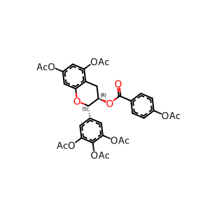 CC(=O)Oc1ccc(C(=O)O[C@@H]2Cc3c(OC(C)=O)cc(OC(C)=O)cc3O[C@H]2c2cc(OC(C)=O)c(OC(C)=O)c(OC(C)=O)c2)cc1